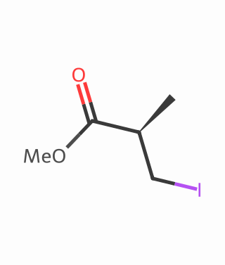 COC(=O)[C@@H](C)CI